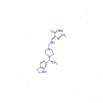 C=N/C(=C\NCN1CCN([C@@H](C)c2ccc3c(c2)NCS3)CC1)C(=O)OC